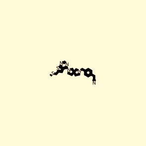 CSCc1cc2c(N3CCC4(CCN(Cc5ccc(CC#N)cc5)C4)C3)ncnc2s1